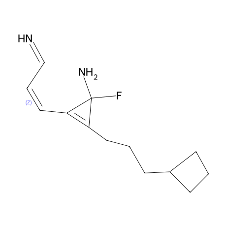 N=C/C=C\C1=C(CCCC2CCC2)C1(N)F